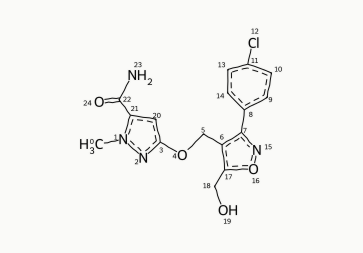 Cn1nc(OCc2c(-c3ccc(Cl)cc3)noc2CO)cc1C(N)=O